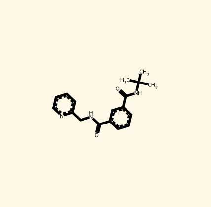 CC(C)(C)NC(=O)c1cccc(C(=O)NCc2ccccn2)c1